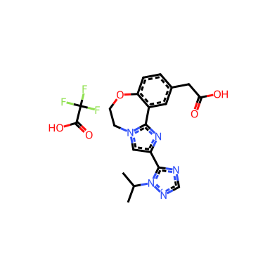 CC(C)n1ncnc1-c1cn2c(n1)-c1cc(CC(=O)O)ccc1OCC2.O=C(O)C(F)(F)F